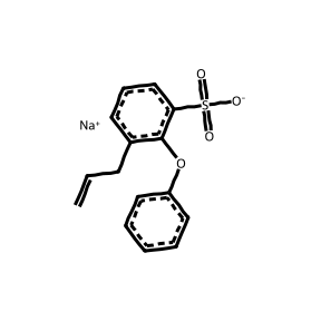 C=CCc1cccc(S(=O)(=O)[O-])c1Oc1ccccc1.[Na+]